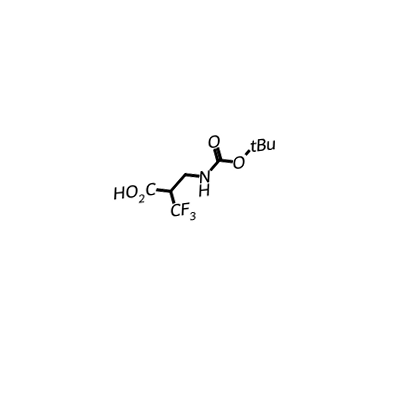 CC(C)(C)OC(=O)NCC(C(=O)O)C(F)(F)F